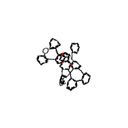 c1ccc(N(c2ccc3c(c2)-c2ccccc2Oc2ccccc2-3)c2ccc3c(c2)C2(c4ccccc4-c4ccccc4-3)c3ccccc3-c3cc4ccccc4cc32)cc1